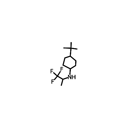 CC(NC1CCC(C(C)(C)C)CC1)C(F)(F)F